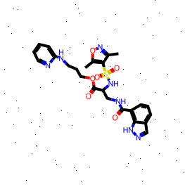 Cc1noc(C)c1S(=O)(=O)NC(CNC(=O)c1cccc2cn[nH]c12)C(=O)OCCCNc1ccccn1